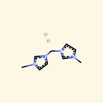 C[n+]1ccn(Cn2cc[n+](C)c2)c1.[Cl-].[Cl-]